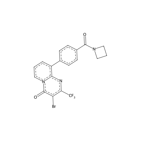 O=C(c1ccc(-c2cccn3c(=O)c(Br)c(C(F)(F)F)nc23)cc1)N1CCC1